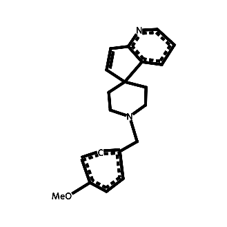 COc1ccc(CN2CCC3(C=Cc4ncccc43)CC2)cc1